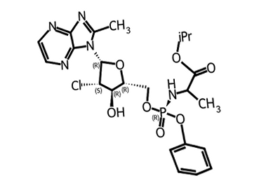 Cc1nc2nccnc2n1[C@@H]1O[C@H](CO[P@](=O)(NC(C)C(=O)OC(C)C)Oc2ccccc2)[C@@H](O)[C@@H]1Cl